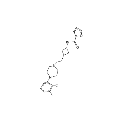 Cc1cccc(N2CCN(CCC3CC(NC(=O)c4ncco4)C3)CC2)c1Cl